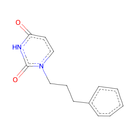 O=c1ccn(CCCc2ccccc2)c(=O)[nH]1